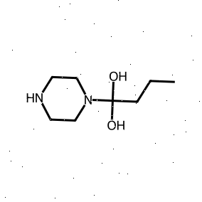 CCCC(O)(O)N1CCNCC1